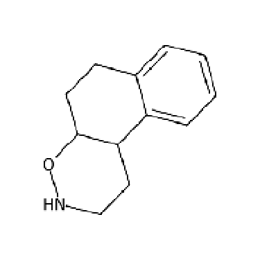 c1ccc2c(c1)CCC1ONCCC21